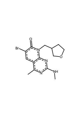 CNc1nc(C)c2cc(Br)c(=O)n(CC3CCOC3)c2n1